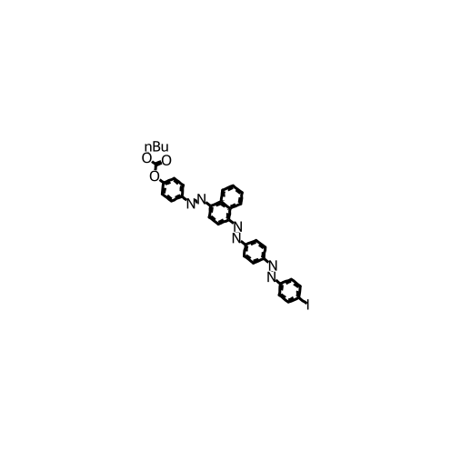 CCCCOC(=O)Oc1ccc(/N=N/c2ccc(/N=N/c3ccc(/N=N/c4ccc(I)cc4)cc3)c3ccccc23)cc1